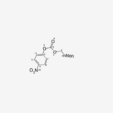 CCCCCCCCCCOC(=O)Oc1ccc([N+](=O)[O-])cc1